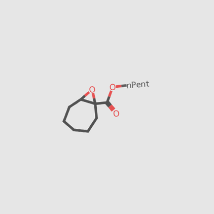 CCCCCOC(=O)C12CCCCCC1O2